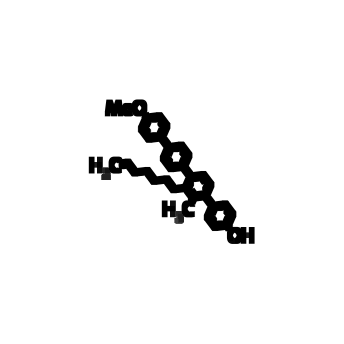 C=CCCCCCc1c(-c2ccc(-c3ccc(OC)cc3)cc2)ccc(-c2ccc(O)cc2)c1C